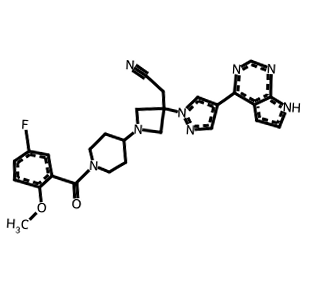 COc1ccc(F)cc1C(=O)N1CCC(N2CC(CC#N)(n3cc(-c4ncnc5[nH]ccc45)cn3)C2)CC1